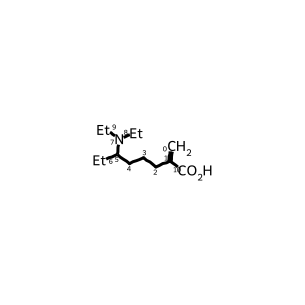 C=C(CCCC(CC)N(CC)CC)C(=O)O